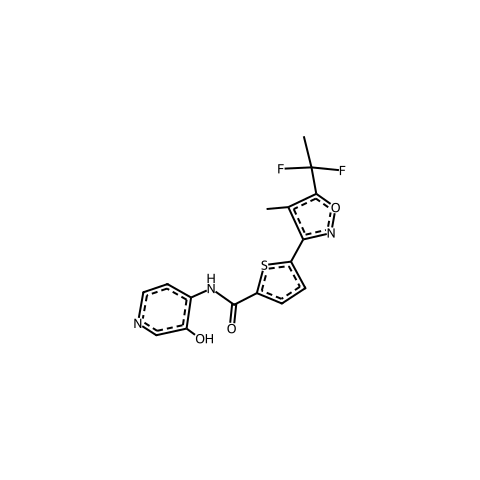 Cc1c(-c2ccc(C(=O)Nc3ccncc3O)s2)noc1C(C)(F)F